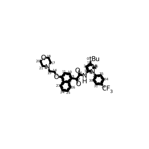 CC(C)(C)c1cc(NC(=O)C(=O)c2ccc(OCCN3CCOCC3)c3ccccc23)n(-c2ccc(C(F)(F)F)cc2)n1